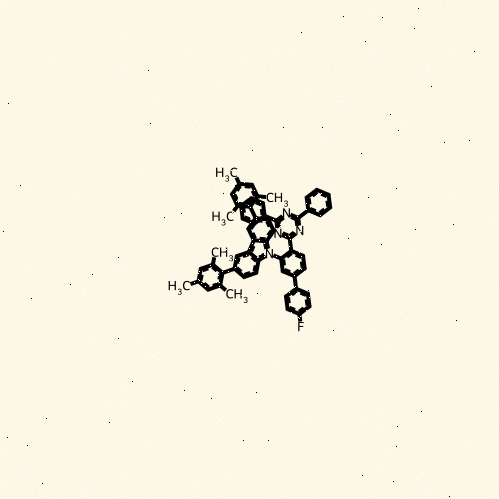 Cc1cc(C)c(-c2ccc3c(c2)c2cc(-c4c(C)cc(C)cc4C)ccc2n3-c2cc(-c3ccc(F)cc3)ccc2-c2nc(-c3ccccc3)nc(-c3ccccc3)n2)c(C)c1